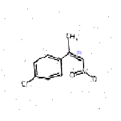 C/C(=C/[N+](=O)[O-])c1ccc(Cl)cc1